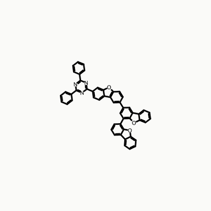 c1ccc(-c2nc(-c3ccccc3)nc(-c3ccc4c(c3)oc3ccc(-c5cc(-c6cccc7c6oc6ccccc67)c6oc7ccccc7c6c5)cc34)n2)cc1